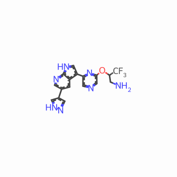 NCC(Oc1cncc(-c2c[nH]c3ncc(-c4cn[nH]c4)cc23)n1)C(F)(F)F